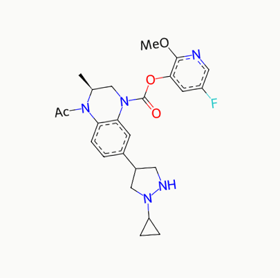 COc1ncc(F)cc1OC(=O)N1C[C@H](C)N(C(C)=O)c2ccc(C3CNN(C4CC4)C3)cc21